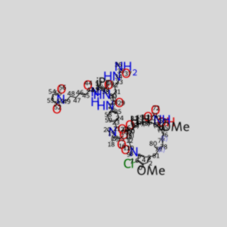 COc1cc2cc(c1Cl)N(C)C(=O)C[C@H](OC(=O)[C@H](C)N(C)C(=O)C1=CC=C(NC(=O)[C@H](CCCNC(N)=O)NC(=O)[C@@H](NC(=O)CCCCCN3C(=O)C=CC3=O)C(C)C)CC1)[C@]1(C)O[C@H]1[C@H](C)[C@@H]1C[C@@](O)(NC(=O)O1)[C@H](OC)/C=C/C=C(\C)C2